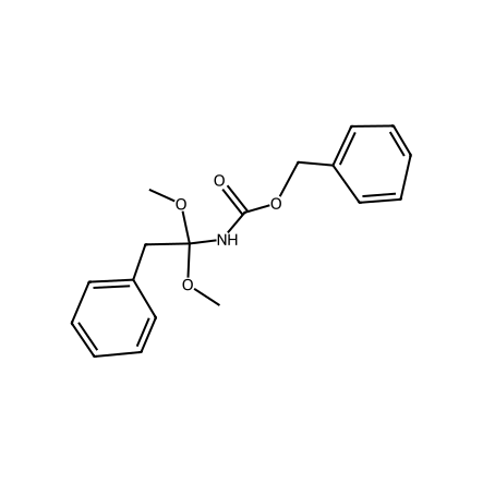 COC(Cc1ccccc1)(NC(=O)OCc1ccccc1)OC